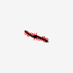 C=CC(=O)OCCC(=O)OCC(O)COCC1CCC(COCC(O)COC(=O)CCOC(=O)C=C)CC1